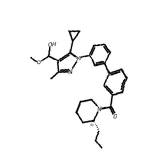 CCC[C@@H]1CCCCN1C(=O)c1cccc(-c2cccc(-n3nc(C)c(C(O)OC)c3C3CC3)c2)c1